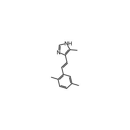 Cc1ccc(C)c(C=Cc2nc[nH]c2C)c1